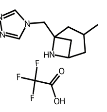 CC1CC2CC(Cn3cnnc3)(C1)N2.O=C(O)C(F)(F)F